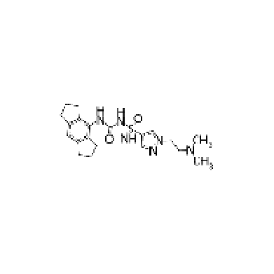 CN(C)CCn1cc(S(=N)(=O)NC(=O)Nc2c3c(cc4c2CCC4)CCC3)cn1